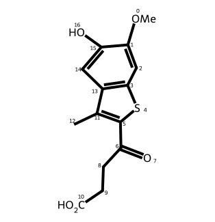 COc1cc2sc(C(=O)CCC(=O)O)c(C)c2cc1O